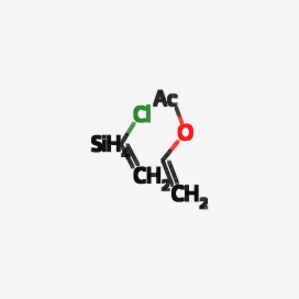 C=CCl.C=COC(C)=O.[SiH4]